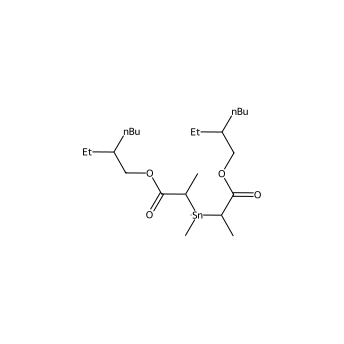 CCCCC(CC)COC(=O)[CH](C)[Sn]([CH3])[CH](C)C(=O)OCC(CC)CCCC